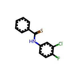 Fc1ccc(NC(=S)c2ccccc2)cc1Cl